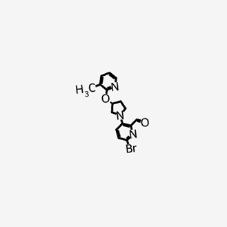 Cc1cccnc1O[C@H]1CCN(c2ccc(Br)nc2C=O)C1